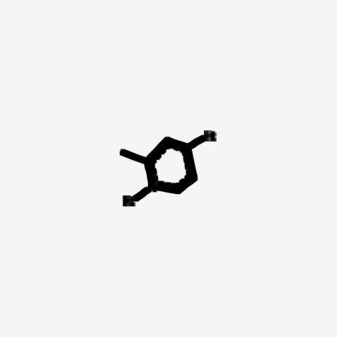 CCc1cc[n+](CC)c(C)c1